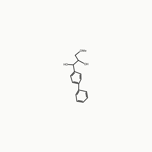 COCC(O)C(O)c1ccc(-c2ccccc2)cc1